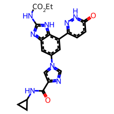 CCOC(=O)Nc1nc2cc(-n3cnc(C(=O)NC4CC4)c3)cc(-c3ccc(=O)[nH]n3)c2[nH]1